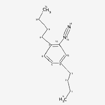 CCCCc1ccc(CCCC)c([N+]#N)c1